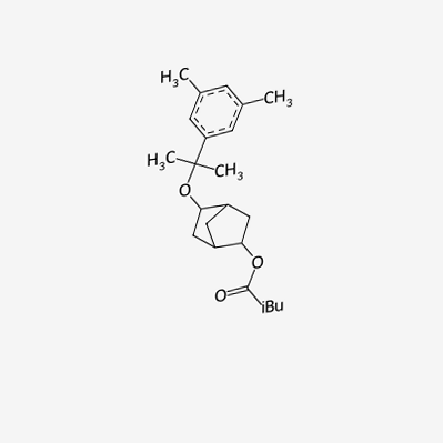 CCC(C)C(=O)OC1CC2CC1CC2OC(C)(C)c1cc(C)cc(C)c1